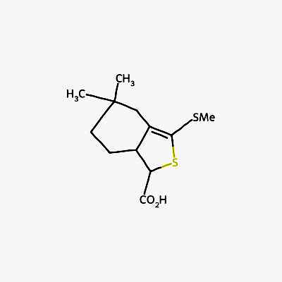 CSC1=C2CC(C)(C)CCC2C(C(=O)O)S1